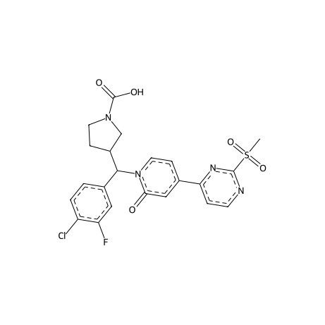 CS(=O)(=O)c1nccc(-c2ccn(C(c3ccc(Cl)c(F)c3)C3CCN(C(=O)O)C3)c(=O)c2)n1